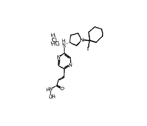 Cl.Cl.O=C(C=Cc1cnc(N[C@@H]2CCN(C3(I)CCCCC3)C2)cn1)NO